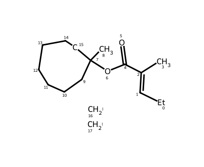 CCC=C(C)C(=O)OC1(C)CCCCCCC1.[CH2].[CH2]